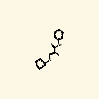 O=C(Nc1ccccc1)C(F)=CSc1ccccc1